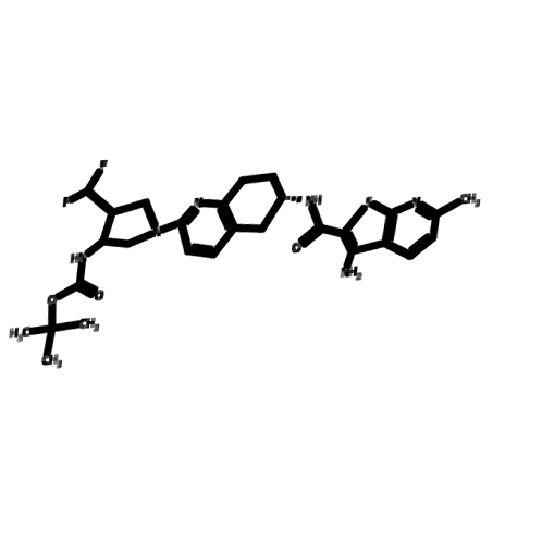 Cc1ccc2c(N)c(C(=O)N[C@H]3CCc4nc(N5CC(NC(=O)OC(C)(C)C)C(C(F)F)C5)ccc4C3)sc2n1